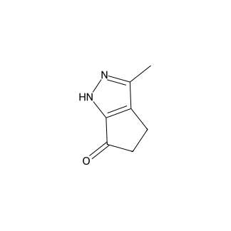 Cc1n[nH]c2c1CCC2=O